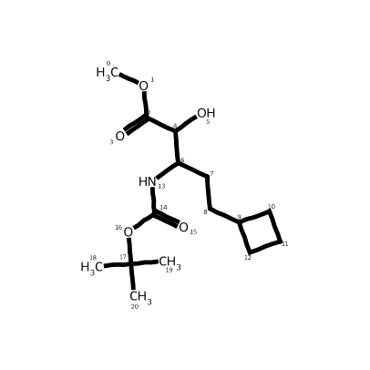 COC(=O)C(O)C(CCC1CCC1)NC(=O)OC(C)(C)C